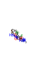 COc1cc(-c2cc(C(F)(F)F)cc3c2n(C)c(=O)n3CC(=O)Nc2ccc(SC)cc2)cc(F)c1OCc1nnc[nH]1